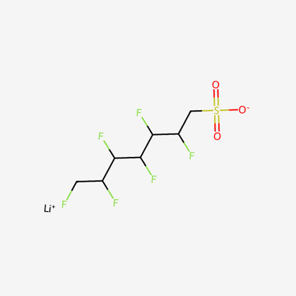 O=S(=O)([O-])CC(F)C(F)C(F)C(F)C(F)CF.[Li+]